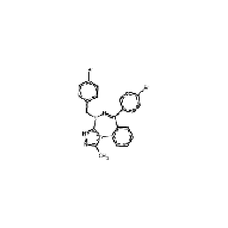 Cc1nnc2n1-c1ccccc1C(c1ccc(Br)cc1)=NN2Cc1ccc(Br)cc1